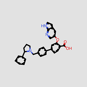 O=C(O)c1ccc(-c2ccc(CN3CCCC3c3ccccc3)cc2)cc1Oc1cnc2[nH]ccc2c1